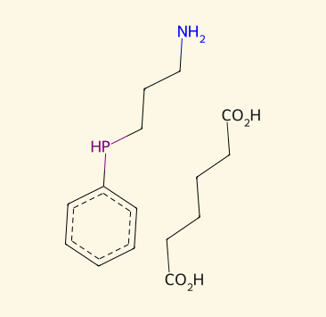 NCCCPc1ccccc1.O=C(O)CCCCC(=O)O